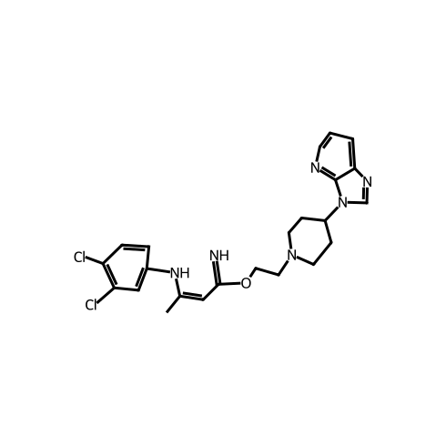 C/C(=C/C(=N)OCCN1CCC(n2cnc3cccnc32)CC1)Nc1ccc(Cl)c(Cl)c1